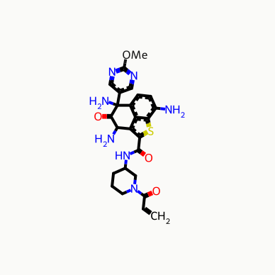 C=CC(=O)N1CCCC(NC(=O)c2sc3c(N)ccc4c3c2C(N)C(=O)C4(N)c2cnc(OC)nc2)C1